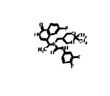 CC(c1c[nH]c(=O)c2ccc(F)cc12)N(CC1COC(C)(C)OC1)C(=O)Nc1ccc(F)c(Cl)c1